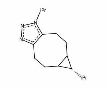 CC(C)[C@@H]1C2CCc3nnn(C(C)C)c3CCC21